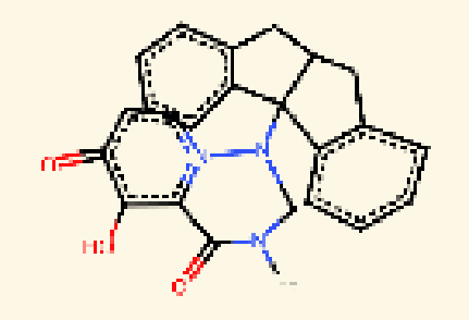 CCN1CN(C23c4ccccc4CC2Cc2ccccc23)n2ccc(=O)c(O)c2C1=O